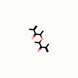 C=C(C)C(=O)C(C)OC(C)C(=O)C(=C)C